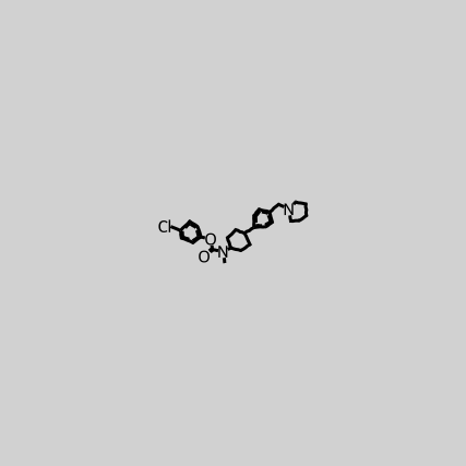 CN(C(=O)Oc1ccc(Cl)cc1)C1CCC(c2ccc(CN3CCCCC3)cc2)CC1